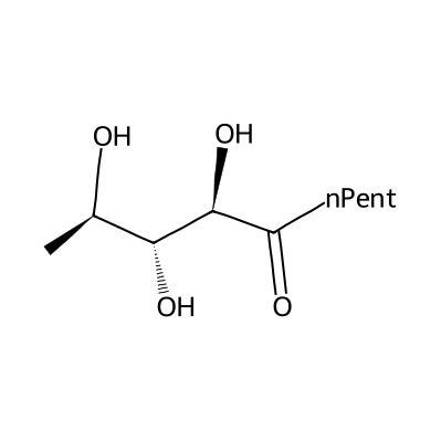 CCCCCC(=O)[C@H](O)[C@H](O)[C@@H](C)O